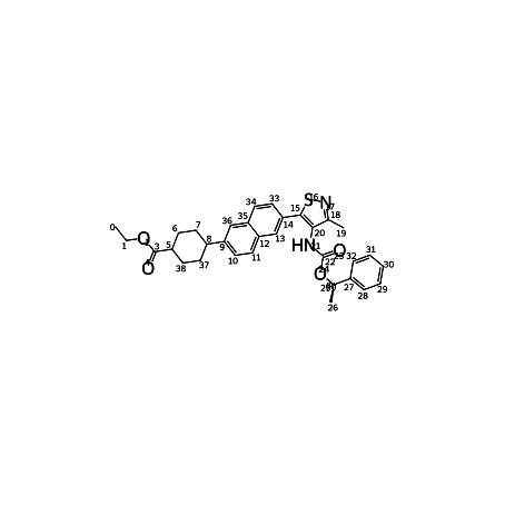 CCOC(=O)C1CCC(c2ccc3cc(-c4snc(C)c4NC(=O)O[C@H](C)c4ccccc4)ccc3c2)CC1